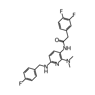 CN(C)c1nc(NCc2ccc(F)cc2)ccc1NC(=O)Cc1ccc(F)c(F)c1